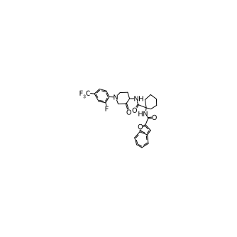 O=C(NC1(C(=O)NC2CCN(c3ccc(C(F)(F)F)cc3F)CC2=O)CCCCC1)c1cc2ccccc2o1